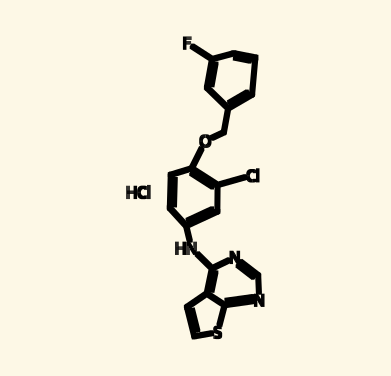 Cl.Fc1cccc(COc2ccc(Nc3ncnc4sccc34)cc2Cl)c1